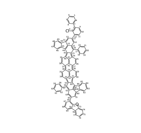 Clc1c(-c2ccccc2)cccc1-c1cc2c(-c3ccccc3)c3c4ccc5c6ccc7c8c(ccc(c9ccc(c4c95)c3c3c4ccccc4c(c1)c23)c68)c1c(-c2ccccc2)c2cc(-c3cccc4c3oc3ccccc34)cc3c4ccccc4c(c23)c71